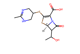 CC1=NCC(SC2=C(C(=O)O)N3C(=O)C(C(C)O)[C@H]3S2)CN1